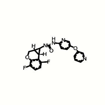 O=C(Nc1ccc(Oc2cccnc2)cn1)NC1[C@H]2COc3c(F)ccc(F)c3[C@@H]12